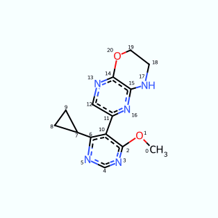 COc1ncnc(C2CC2)c1-c1cnc2c(n1)NCCO2